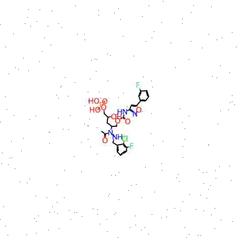 CC(=O)N(NCc1cccc(F)c1Cl)C(COC(=O)Nc1cc(-c2cccc(F)c2)on1)CC(O)COP(=O)(O)O